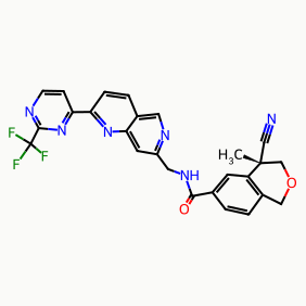 C[C@@]1(C#N)COCc2ccc(C(=O)NCc3cc4nc(-c5ccnc(C(F)(F)F)n5)ccc4cn3)cc21